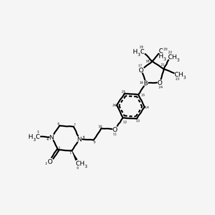 C[C@H]1C(=O)N(C)CCN1CCOc1ccc(B2OC(C)(C)C(C)(C)O2)cc1